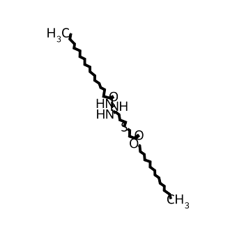 CCCCCCCCCCCCCCCCCC(=O)NNC(=N)CCCSCCC(=O)OCCCCCCCCCCCCCC